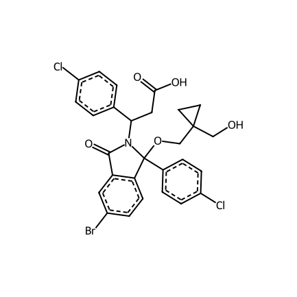 O=C(O)CC(c1ccc(Cl)cc1)N1C(=O)c2cc(Br)ccc2C1(OCC1(CO)CC1)c1ccc(Cl)cc1